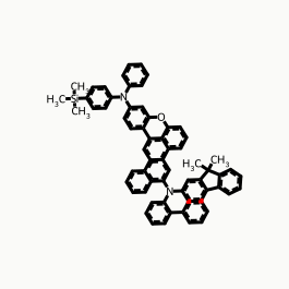 CC1(C)c2ccccc2-c2ccc(N(c3ccccc3-c3ccccc3)c3cc4c5cccc6c5c(cc4c4ccccc34)-c3ccc(N(c4ccccc4)c4ccc([Si](C)(C)C)cc4)cc3O6)cc21